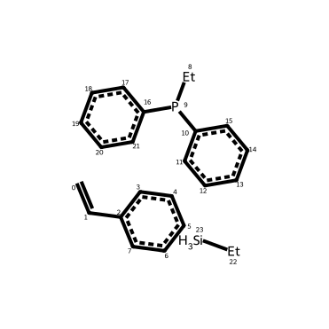 C=Cc1ccccc1.CCP(c1ccccc1)c1ccccc1.CC[SiH3]